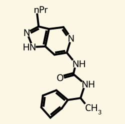 CCCc1n[nH]c2cc(NC(=O)NC(C)c3ccccc3)ncc12